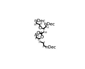 CCCCCCCCCCCCC[C@H](CC(C)=O)OC(=O)C[C@@H](CCCCCCCCCCC)OCCCCCCCCCCCC